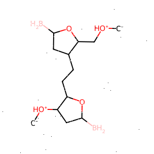 BC1CC(CCC2OC(B)CC2[OH+][CH2-])C(C[OH+][CH2-])O1